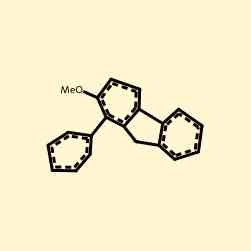 COc1ccc2c(c1-c1ccccc1)[CH]c1ccccc1-2